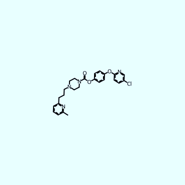 Cc1cccc(CCCN2CCN(C(=O)Oc3ccc(Oc4ccc(Cl)cn4)cc3)CC2)n1